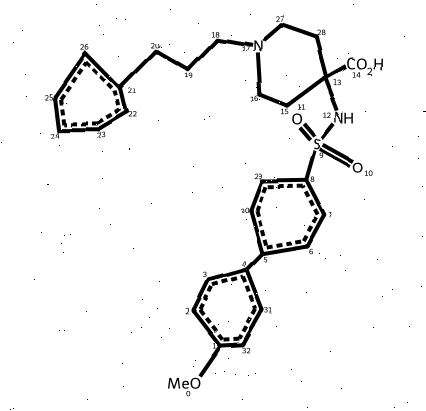 COc1ccc(-c2ccc(S(=O)(=O)NC3(C(=O)O)CCN(CCCc4ccccc4)CC3)cc2)cc1